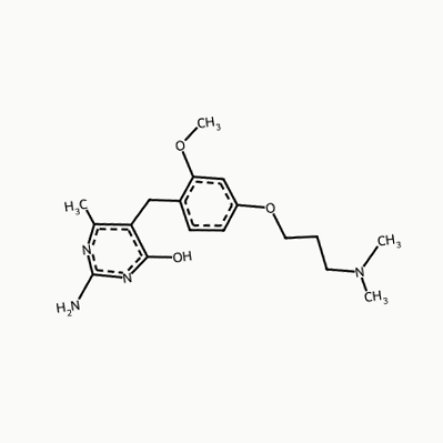 COc1cc(OCCCN(C)C)ccc1Cc1c(C)nc(N)nc1O